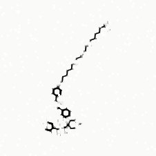 CN1CCC(Nc2cccc(C(=O)NCc3ccc(OCCCCCCOCCOCCOCCCCCC(=O)O)cc3)c2)(C(=N)NC(=N)c2ccncc2)CC1